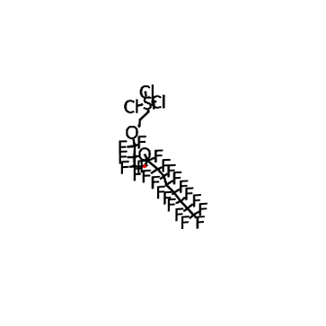 FC(F)(F)C(F)(F)C(F)(F)C(F)(F)C(F)(F)C(F)(F)C(F)(F)C(F)(F)OC(F)(C(F)(F)F)C(F)(F)OCCC[Si](Cl)(Cl)Cl